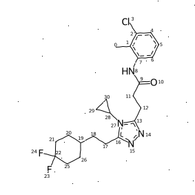 Cc1c(Cl)cccc1NC(=O)CCc1nnc(CCC2CCC(F)(F)CC2)n1C1CC1